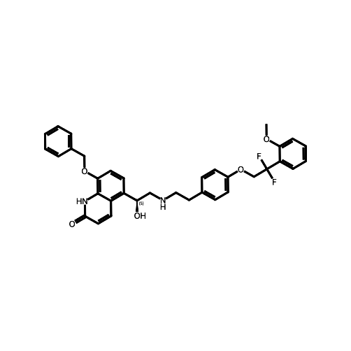 COc1ccccc1C(F)(F)COc1ccc(CCNC[C@@H](O)c2ccc(OCc3ccccc3)c3[nH]c(=O)ccc23)cc1